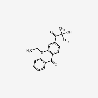 CCSc1cc(C(=O)C(C)(C)O)ccc1C(=O)c1ccccc1